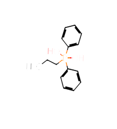 CCCP(O)(O)(c1ccccc1)c1ccccc1